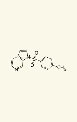 Cc1ccc(S(=O)(=O)n2ccc3ccncc32)cc1